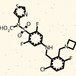 O=C(O)N(c1cscn1)S(=O)(=O)c1c(F)cc(NCc2c(Cl)ccc(F)c2CN2CCC2)cc1F